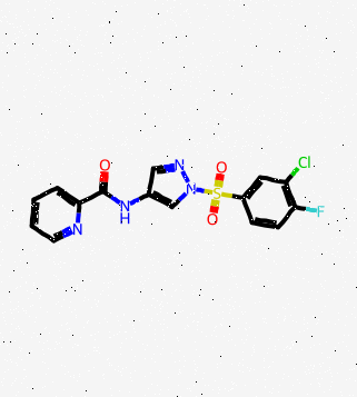 O=C(Nc1cnn(S(=O)(=O)c2ccc(F)c(Cl)c2)c1)c1ccccn1